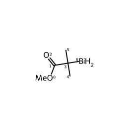 COC(=O)[C](C)(C)[BiH2]